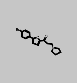 O=C(CCN1CCCC1)c1ccc(-c2ccc(Br)cc2)o1